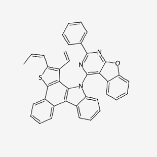 C=Cc1c(/C=C\C)sc2c3ccccc3c3c4ccccc4n(-c4nc(-c5ccccc5)nc5oc6ccccc6c45)c3c12